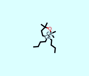 CCC[CH2][Ge]1([CH2]CCC)[CH2]CC(C)(C)[O][Ge]1([CH3])[CH3]